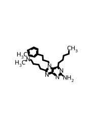 CCCCCc1nc(N)nc2nc(CCCCN(C)C)n(CCCc3ccccc3)c12